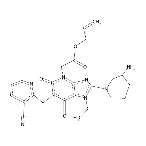 C=CCOC(=O)Cn1c(=O)n(Cc2ncccc2C#N)c(=O)c2c1nc(N1CCCC(N)C1)n2CC